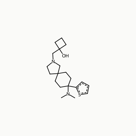 CN(C)C1(c2cccs2)CCC2(CCN(CC3(O)CCC3)C2)CC1